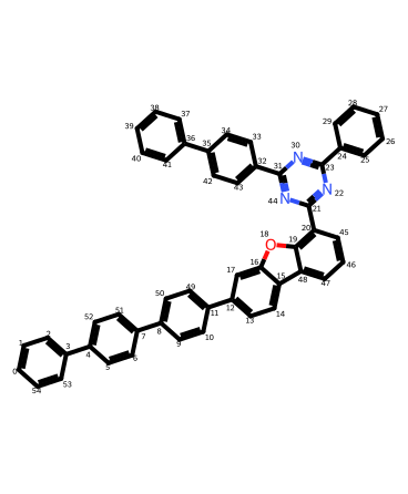 c1ccc(-c2ccc(-c3ccc(-c4ccc5c(c4)oc4c(-c6nc(-c7ccccc7)nc(-c7ccc(-c8ccccc8)cc7)n6)cccc45)cc3)cc2)cc1